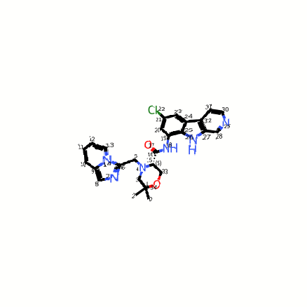 CC1(C)CN(Cc2ncc3ccccn23)[C@H](C(=O)Nc2cc(Cl)cc3c2[nH]c2cnccc23)CO1